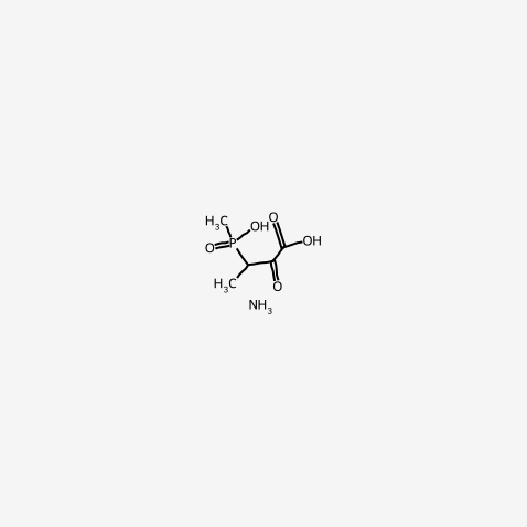 CC(C(=O)C(=O)O)P(C)(=O)O.N